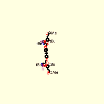 COC(=O)CCc1cc(C(C)(C)C)c(OC(COc2ccc(C(C)(C)c3ccc(OCC(Oc4c(C(C)(C)C)cc(CCC(=O)OC)cc4C(C)(C)C)C4CN(C(C)(C)C)PO4)cc3)cc2)C2CN(C(C)(C)C)PO2)c(C(C)(C)C)c1